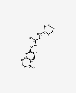 O=C1CCOc2cc(OCC(O)CNC3CCCCC3)ccc21